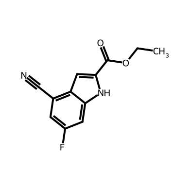 CCOC(=O)c1cc2c(C#N)cc(F)cc2[nH]1